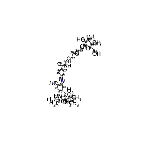 CC(C)(C)NC(Cc1ccc(O)c(/N=N/c2ccc(C(=O)NCCOCCOCCO[C@H]3OC(CO)[C@@H](O)C(O)C3O)cc2)c1)C(=O)C(C)(C)C